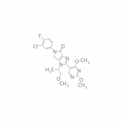 COCC(C)n1c(-c2cnc(OC)nc2OC)nc2c1CN(c1ccc(F)c(Cl)c1)C2=O